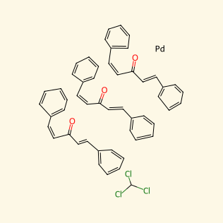 ClC(Cl)Cl.O=C(/C=C\c1ccccc1)/C=C/c1ccccc1.O=C(/C=C\c1ccccc1)/C=C/c1ccccc1.O=C(/C=C\c1ccccc1)/C=C/c1ccccc1.[Pd]